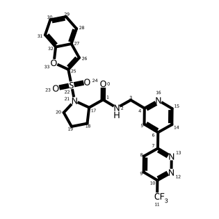 O=C(NCc1cc(-c2ccc(C(F)(F)F)nn2)ccn1)C1CCCN1S(=O)(=O)c1cc2ccccc2o1